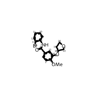 COc1ccc(C(=O)Nc2ccccc2Br)cc1OC1CCOC1